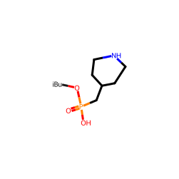 CCC(C)OP(=O)(O)CC1CCNCC1